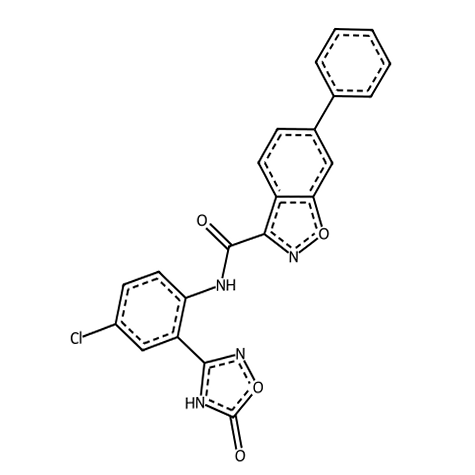 O=C(Nc1ccc(Cl)cc1-c1noc(=O)[nH]1)c1noc2cc(-c3ccccc3)ccc12